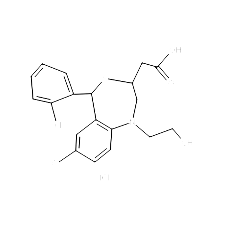 CCCN1CC(CC(=O)O)SC(c2ccccc2Cl)c2cc(Cl)ccc21.Cl